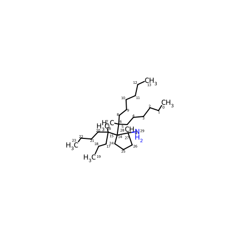 CCCCCCC(C)(CCCCCC)C1(C(C)(CCC)CCCC)CCCC1(C)N